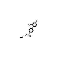 C=CCCC[C@H](O)c1ccc(-c2ccc(Cl)cc2Cl)cc1